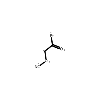 CCC(=O)COC#N